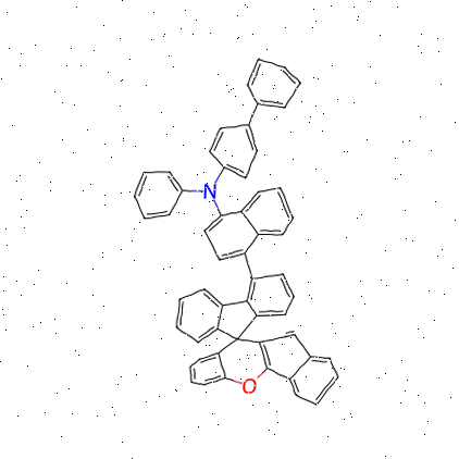 c1ccc(-c2ccc(N(c3ccccc3)c3ccc(-c4cccc5c4-c4ccccc4C54c5ccccc5Oc5c4ccc4ccccc54)c4ccccc34)cc2)cc1